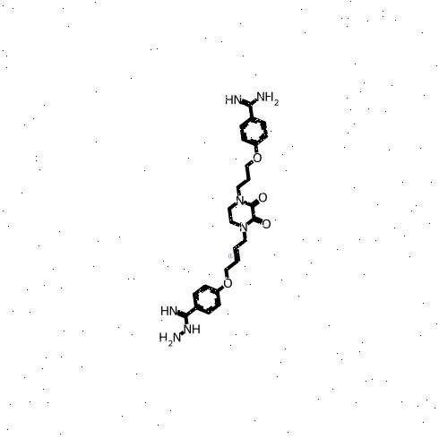 N=C(N)c1ccc(OCCCN2CCN(C/C=C/COc3ccc(C(=N)NN)cc3)C(=O)C2=O)cc1